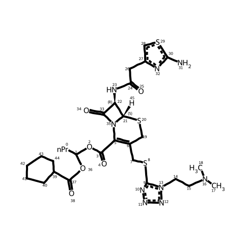 CCCC(OC(=O)C1=C(CSc2nnnn2CCN(C)C)CS[C@H]2[C@H](NC(=O)Cc3csc(N)n3)C(=O)N12)OC(=O)C1CCCCC1